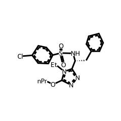 CCCOc1nnc([C@@H](Cc2ccccc2)NS(=O)(=O)c2ccc(Cl)cc2)n1CC